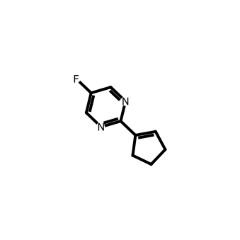 Fc1cnc(C2=CCCC2)nc1